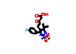 CC(C)c1nc(N(C)S(C)(=O)=O)nc(-c2ccc(F)cc2)c1/C=C/C(=O)CC(=O)O